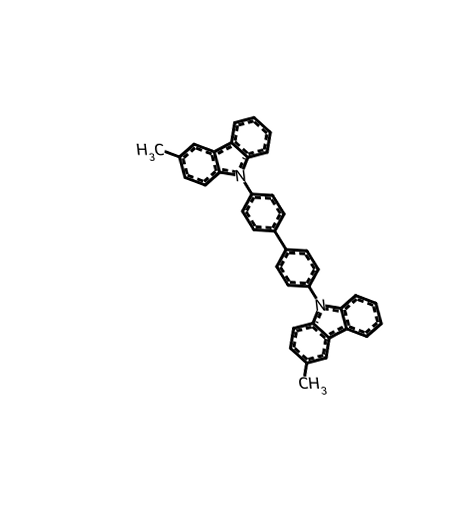 Cc1ccc2c(c1)c1ccccc1n2-c1ccc(-c2ccc(-n3c4ccccc4c4cc(C)ccc43)cc2)cc1